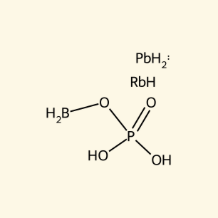 BOP(=O)(O)O.[PbH2].[RbH]